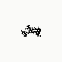 C#Cc1c(F)ccc2cc(O)cc(-c3ncc4c(NC5(CF)CC5)nc(OC[C@@]56CCCN5C[C@H](F)C6)nc4c3F)c12